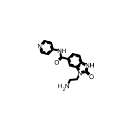 NCCn1c(=O)[nH]c2ccc(C(=O)Nc3ccncc3)cc21